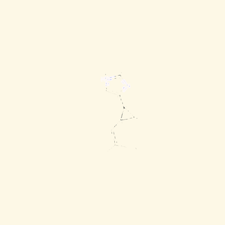 C/C(=C\C1CC1c1c[nH]cn1)C(=O)O